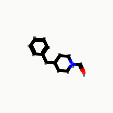 O=CN1CCC(Cc2ccccc2)CC1